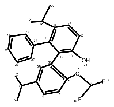 CC(C)c1ccc(OC(F)F)c(-c2c(O)ccc(C(C)C)c2-c2ccccc2)c1